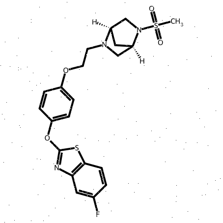 CS(=O)(=O)N1C[C@H]2C[C@@H]1CN2CCOc1ccc(Oc2nc3cc(F)ccc3s2)cc1